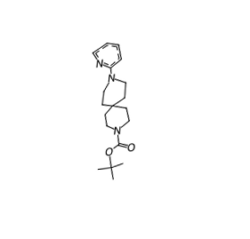 CC(C)(C)OC(=O)N1CCC2(CC1)CCN(c1ccccn1)CC2